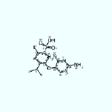 CC(C)c1cc(I)c(S(=O)(=O)O)cc1Oc1cnc(N)nc1N